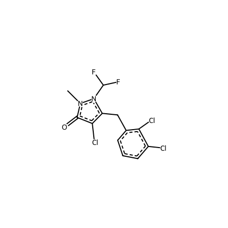 Cn1c(=O)c(Cl)c(Cc2cccc(Cl)c2Cl)n1C(F)F